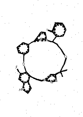 CC1(C)COCCC(c2ccccc2F)n2ccc(n2)-c2cccc(c2)Oc2c(F)cc3[nH]ccc3c2Cn2cc1nn2